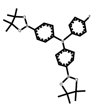 CC1(C)OB(c2ccc(N(c3ccc(F)cc3)c3ccc(B4OC(C)(C)C(C)(C)O4)cc3)cc2)OC1(C)C